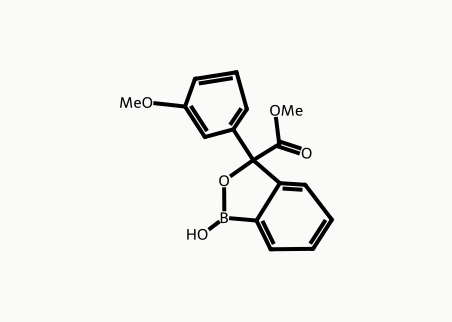 COC(=O)C1(c2cccc(OC)c2)OB(O)c2ccccc21